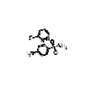 Clc1cccnn1.Nc1ccc(S(N)(=O)=O)cc1